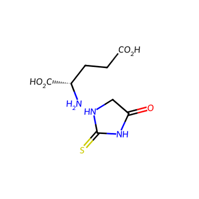 N[C@@H](CCC(=O)O)C(=O)O.O=C1CNC(=S)N1